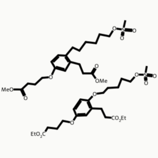 CCOC(=O)CCCOc1ccc(OCCCCCOS(C)(=O)=O)c(CCC(=O)OCC)c1.COC(=O)CCCOc1ccc(CCCCCCOS(C)(=O)=O)c(CCC(=O)OC)c1